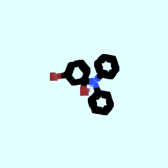 BrC1=CC=CC(Br)(N(c2ccccc2)c2ccccc2)C1